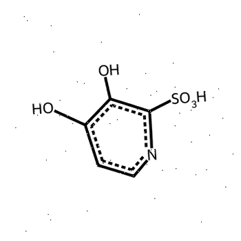 O=S(=O)(O)c1nccc(O)c1O